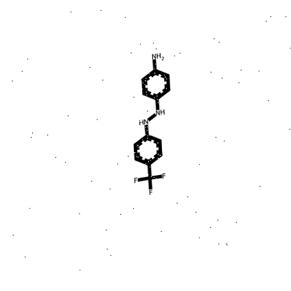 Nc1ccc(NNc2ccc(C(F)(F)F)cc2)cc1